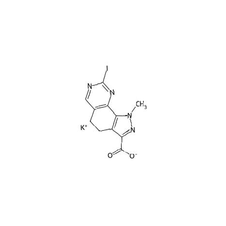 Cn1nc(C(=O)[O-])c2c1-c1nc(I)ncc1CC2.[K+]